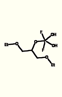 CCOCC(COCC)OP(O)(O)(F)F